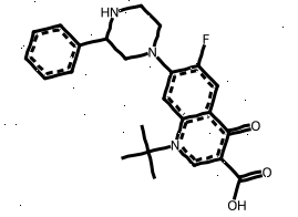 CC(C)(C)n1cc(C(=O)O)c(=O)c2cc(F)c(N3CCNC(c4ccccc4)C3)cc21